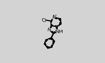 Clc1nccc2[nH]c(-c3ccccc3)nc12